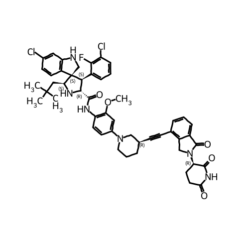 COc1cc(N2CCC[C@H](C#Cc3cccc4c3CN([C@@H]3CCC(=O)NC3=O)C4=O)C2)ccc1NC(=O)[C@@H]1N[C@@H](CC(C)(C)C)[C@@]2(CNc3cc(Cl)ccc32)[C@H]1c1cccc(Cl)c1F